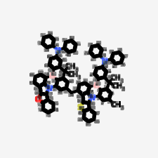 Cc1cc2c3c(c1)C(C)(C)c1cc(N(c4ccccc4)c4ccccc4)ccc1B3c1ccc(Cc3cc4c5c(c3)C(C)(C)c3cc(N(c6ccccc6)c6ccccc6)ccc3B5c3cccc5c6oc7ccccc7c6n-4c35)c3c4sc5ccccc5c4n-2c13